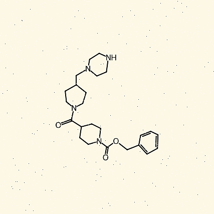 O=C(OCc1ccccc1)N1CCC(C(=O)N2CCC(CN3CCNCC3)CC2)CC1